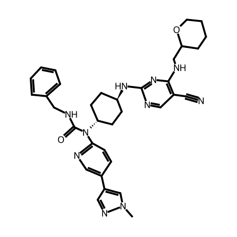 Cn1cc(-c2ccc(N(C(=O)NCc3ccccc3)[C@H]3CC[C@H](Nc4ncc(C#N)c(NCC5CCCCO5)n4)CC3)nc2)cn1